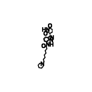 Cn1nc(C2CCC(=O)NC2=O)c2cccc(NC(=O)CCCCCCCN3CCCCC3)c21